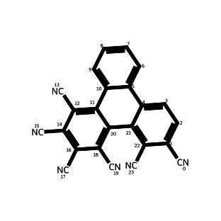 N#Cc1ccc2c3ccccc3c3c(C#N)c(C#N)c(C#N)c(C#N)c3c2c1C#N